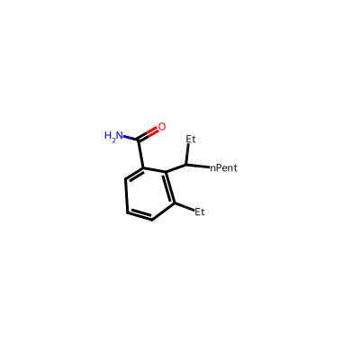 CCCCCC(CC)c1c(CC)cccc1C(N)=O